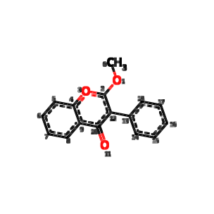 COc1oc2ccccc2c(=O)c1-c1ccccc1